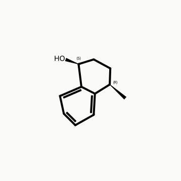 C[C@@H]1CC[C@H](O)c2ccccc21